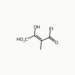 CCC(=O)C(C)=C(O)C(=O)O